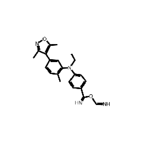 CCN(c1ccc(C(=N)OC=N)cc1)c1cc(-c2c(C)noc2C)ccc1C